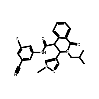 CC(C)CN1C(=O)c2ccccc2C(C(=O)Nc2cc(F)cc(C#N)c2)C1c1cnn(C)c1